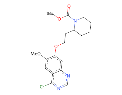 COc1cc2c(Cl)ncnc2cc1OCCC1CCCCN1C(=O)OC(C)(C)C